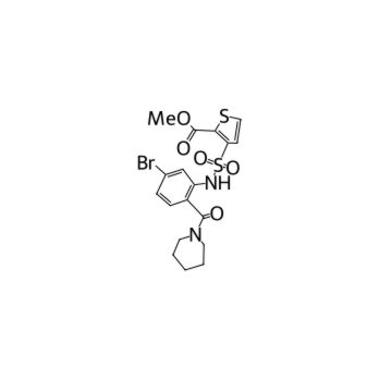 COC(=O)c1sccc1S(=O)(=O)Nc1cc(Br)ccc1C(=O)N1CCCCC1